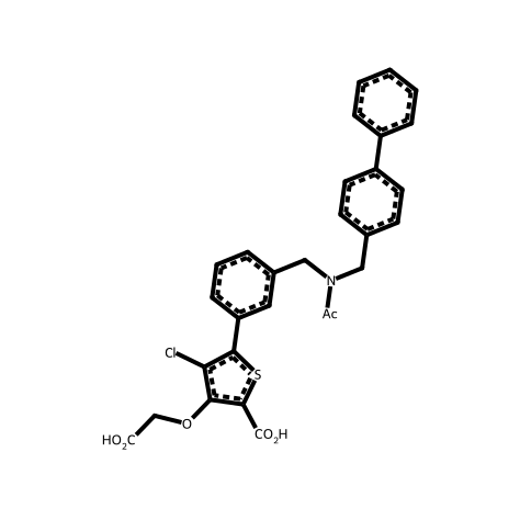 CC(=O)N(Cc1ccc(-c2ccccc2)cc1)Cc1cccc(-c2sc(C(=O)O)c(OCC(=O)O)c2Cl)c1